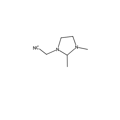 CC1N(C)CCN1CC#N